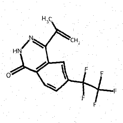 C=C(C)c1n[nH]c(=O)c2ccc(C(F)(F)C(F)(F)F)cc12